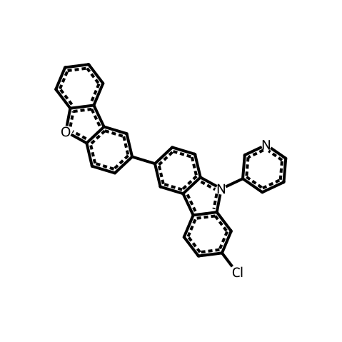 Clc1ccc2c3cc(-c4ccc5oc6ccccc6c5c4)ccc3n(-c3cccnc3)c2c1